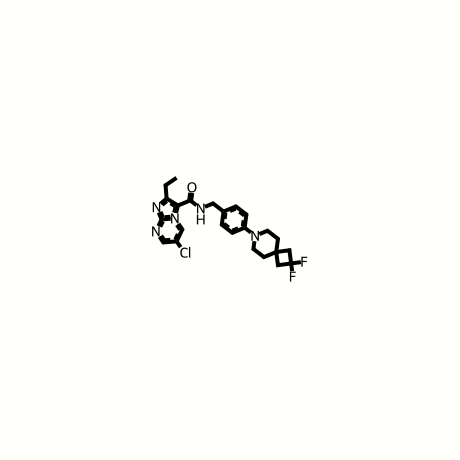 CCc1nc2ncc(Cl)cn2c1C(=O)NCc1ccc(N2CCC3(CC2)CC(F)(F)C3)cc1